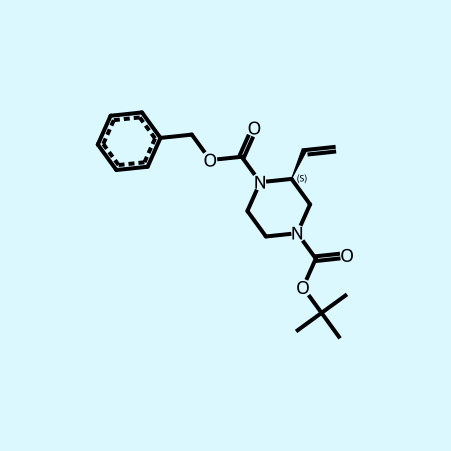 C=C[C@H]1CN(C(=O)OC(C)(C)C)CCN1C(=O)OCc1ccccc1